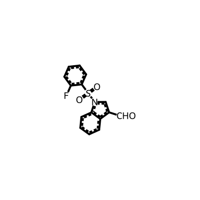 O=Cc1cn(S(=O)(=O)c2ccccc2F)c2ccccc12